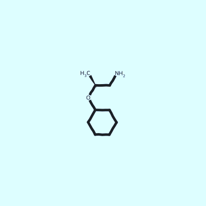 C[C@@H](CN)OC1CCCCC1